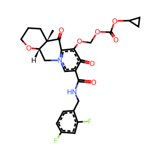 C[C@]12CCCO[C@H]1Cn1cc(C(=O)NCc3ccc(F)cc3F)c(=O)c(OCOC(=O)OC3CC3)c1C2=O